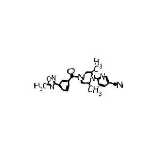 Cc1nc(-c2cccc(C(=O)N3CC(C)N(c4ccc(C#N)cn4)C(C)C3)c2)no1